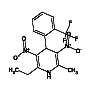 CCC1=C([N+](=O)[O-])C(c2ccccc2C(F)(F)F)C([N+](=O)[O-])=C(C)N1